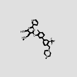 CN/C=C1\C(=N)N=C(c2cccnc2)N=C1Oc1cc(-c2ccc(CN3CCN(C)CC3)c(C(F)(F)F)c2)ccc1C